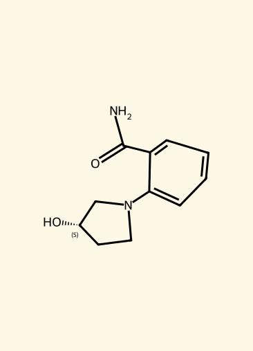 NC(=O)c1ccccc1N1CC[C@H](O)C1